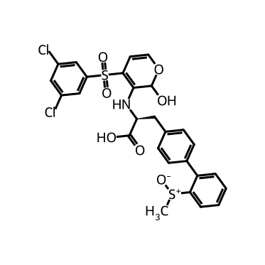 C[S+]([O-])c1ccccc1-c1ccc(C[C@H](NC2=C(S(=O)(=O)c3cc(Cl)cc(Cl)c3)C=COC2O)C(=O)O)cc1